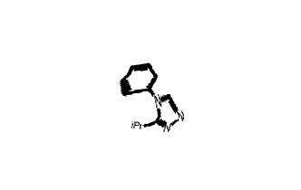 CC(C)c1nncn1-c1ccccc1